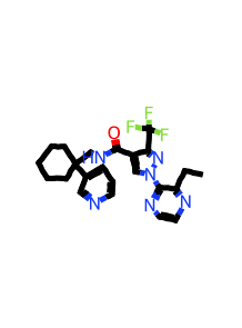 CCc1nccnc1-n1cc(C(=O)NCC2(c3cccnc3)CCCCC2)c(C(F)(F)F)n1